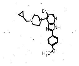 COc1ccc(-c2nc3c(N4CCN(CC5CC5)CC4)c(Br)cnc3[nH]2)cc1